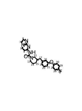 O=C(Nc1ccn2ccnc2n1)N1CCCC(Cc2cccc(Oc3ccc(F)cc3)c2)C1